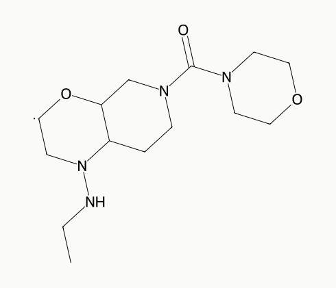 CCNN1C[CH]OC2CN(C(=O)N3CCOCC3)CCC21